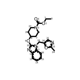 CCOC(=O)N1CCC(Oc2nc3ccccc3n2Cc2cnc(C)o2)CC1